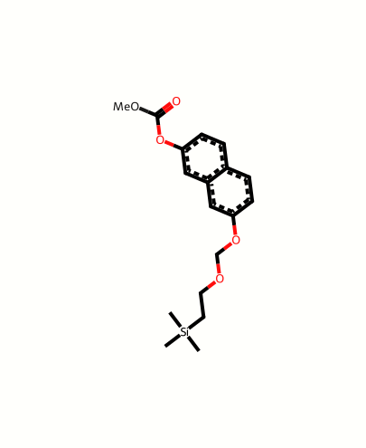 COC(=O)Oc1ccc2ccc(OCOCC[Si](C)(C)C)cc2c1